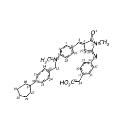 CN1C(=O)C(=Cc2ccc(N(C)Cc3ccc(C4CCCCC4)cc3)cc2)SC1=Nc1ccc(CC(=O)O)cc1